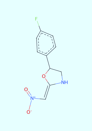 O=[N+]([O-])C=C1NCC(c2ccc(F)cc2)O1